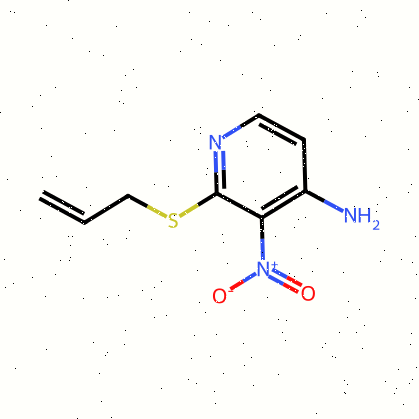 C=CCSc1nccc(N)c1[N+](=O)[O-]